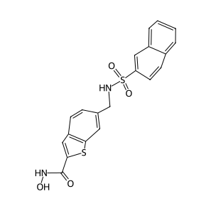 O=C(NO)c1cc2ccc(CNS(=O)(=O)c3ccc4ccccc4c3)cc2s1